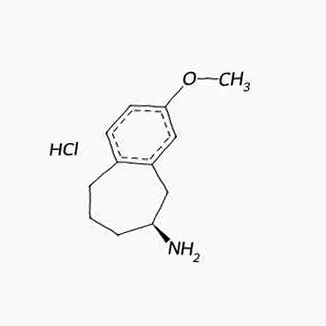 COc1ccc2c(c1)C[C@@H](N)CCC2.Cl